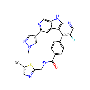 Cn1cc(-c2cc3c(cn2)[nH]c2ncc(F)c(-c4ccc(C(=O)NCc5ncc(C#N)s5)cc4)c23)cn1